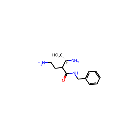 NCCC(C(=O)NCc1ccccc1)[C@@H](N)C(=O)O